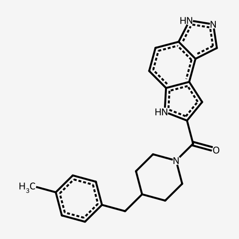 Cc1ccc(CC2CCN(C(=O)c3cc4c(ccc5[nH]ncc54)[nH]3)CC2)cc1